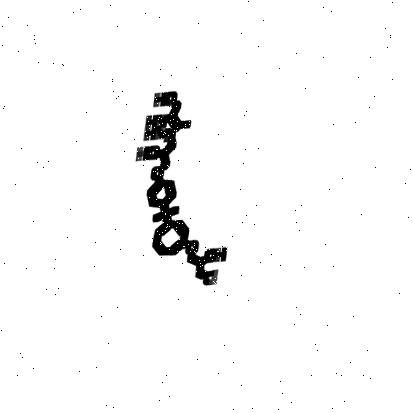 CC1=C(CO)NNN1CC(O)COC1=CCC(C(C)(C)C2=C/CCC=C(OCC(O)CCl)/C=C\2)C=C1